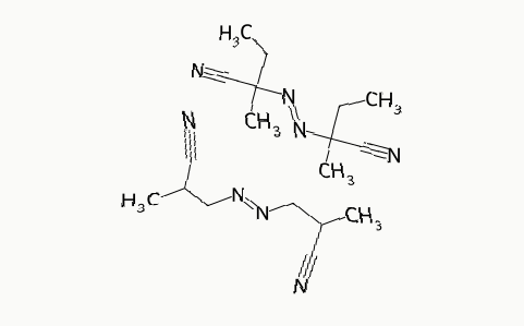 CC(C#N)CN=NCC(C)C#N.CCC(C)(C#N)N=NC(C)(C#N)CC